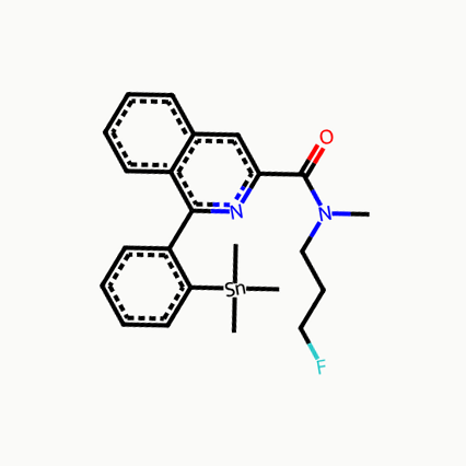 CN(CCCF)C(=O)c1cc2ccccc2c(-c2cccc[c]2[Sn]([CH3])([CH3])[CH3])n1